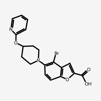 O=C(O)c1cc2c(Br)c(N3CCC(Oc4ccccn4)CC3)ccc2o1